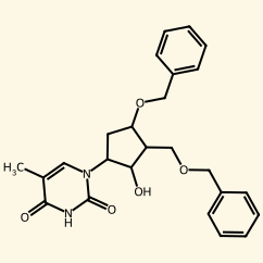 Cc1cn(C2CC(OCc3ccccc3)C(COCc3ccccc3)C2O)c(=O)[nH]c1=O